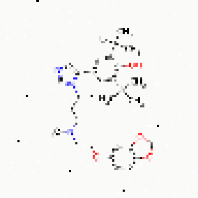 CN(CCCn1cncc1-c1cc(C(C)(C)C)c(O)c(C(C)(C)C)c1)CCOc1ccc2c(c1)OCO2